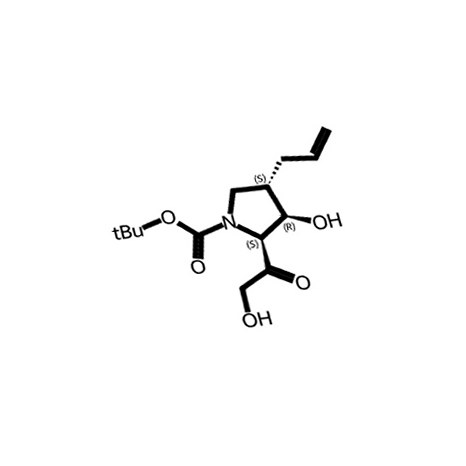 C=CC[C@H]1CN(C(=O)OC(C)(C)C)[C@H](C(=O)CO)[C@@H]1O